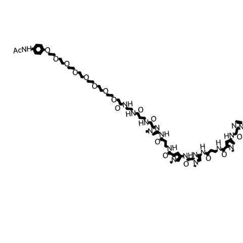 CC(=O)Nc1ccc(OCCOCCOCCOCCOCCOCCOCCOCC(=O)NCCNC(=O)CCNC(=O)c2nc(NC(=O)CCNC(=O)c3cc(NC(=O)c4nc(NC(=O)CCNC(=O)c5cc(NC(=O)c6nccn6C)cn5C)cn4C)cn3C)cn2C)cc1